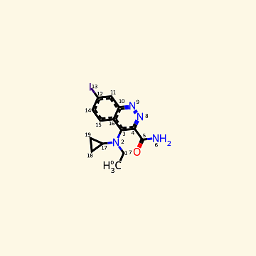 CCN(c1c(C(N)=O)nnc2cc(I)ccc12)C1CC1